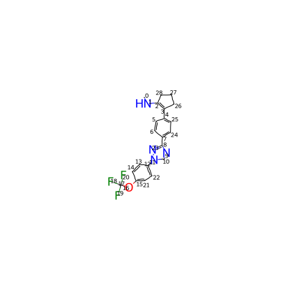 CNC1=C(c2ccc(-c3ncn(-c4ccc(OC(F)(F)F)cc4)n3)cc2)CCC1